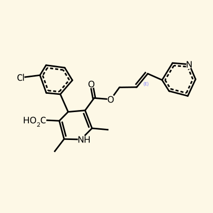 CC1=C(C(=O)O)C(c2cccc(Cl)c2)C(C(=O)OC/C=C/c2cccnc2)=C(C)N1